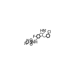 CNCC1Cc2cc(F)c(CCNS(=O)(=O)c3cn(C)cn3)cc2C1Cc1cccc(Cl)c1